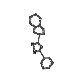 c1ccc(-c2nnc(-c3ccc4ccccc4c3)o2)cc1